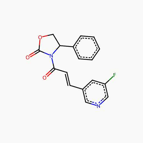 O=C(C=Cc1cncc(F)c1)N1C(=O)OCC1c1ccccc1